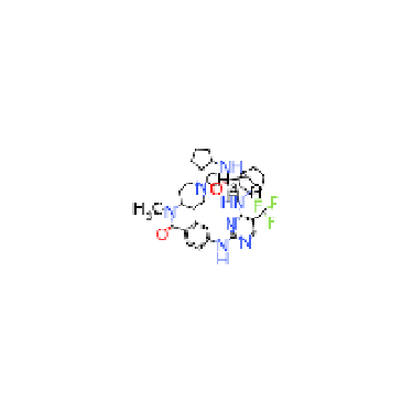 CN1CCC(N(C)C(=O)c2ccc(Nc3ncc(C(F)(F)F)c(N[C@@H]4C5CCC(CC5)[C@@H]4C(=O)NC4CCCC4)n3)cc2)CC1